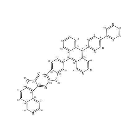 c1ccc(-c2ccc(-c3c4ccccc4c(-c4ccc5c(c4)sc4cc6c(cc45)oc4ccc5ccccc5c46)c4ccccc34)cc2)cc1